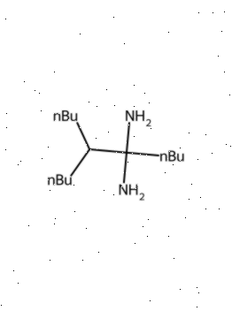 CCCCC(CCCC)C(N)(N)CCCC